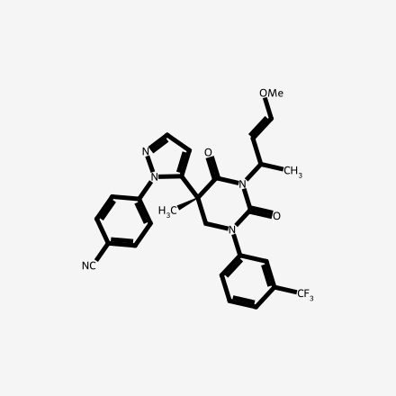 COC=CC(C)N1C(=O)N(c2cccc(C(F)(F)F)c2)C[C@](C)(c2ccnn2-c2ccc(C#N)cc2)C1=O